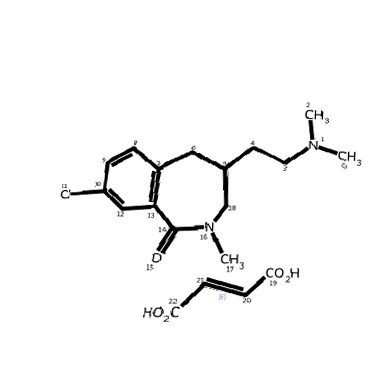 CN(C)CCC1Cc2ccc(Cl)cc2C(=O)N(C)C1.O=C(O)/C=C/C(=O)O